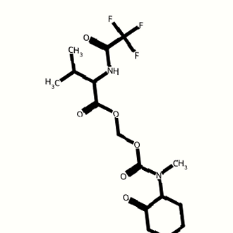 CC(C)C(NC(=O)C(F)(F)F)C(=O)OCOC(=O)N(C)C1CCCCC1=O